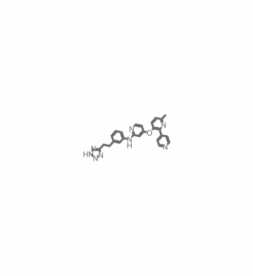 Cc1ccc(Oc2ccnc(Nc3cccc(CCc4nn[nH]n4)c3)c2)c(-c2ccncc2)n1